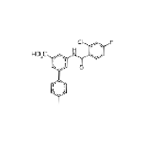 Cc1ccc(-c2cc(NC(=O)c3ccc(F)cc3Cl)cc(C(=O)O)c2)cc1